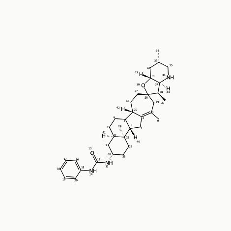 CC1=C2C[C@H]3C(CC[C@@H]4C[C@@H](NC(=O)Nc5ccccc5)CC[C@@]43C)[C@@H]2CC[C@@]2(C1)O[C@@H]1C[C@H](C)CN[C@H]1[C@H]2C